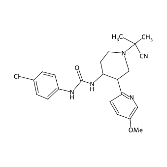 COc1ccc(C2CN(C(C)(C)C#N)CCC2NC(=O)Nc2ccc(Cl)cc2)nc1